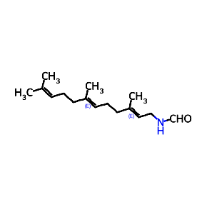 CC(C)=CCC/C(C)=C/CC/C(C)=C/CNC=O